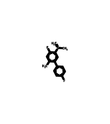 C=[N+](C)c1cc(-c2ccc(F)cc2)c(C)cc1F